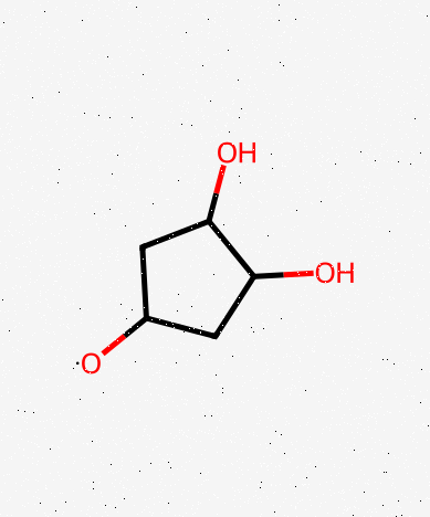 [O]C1CC(O)C(O)C1